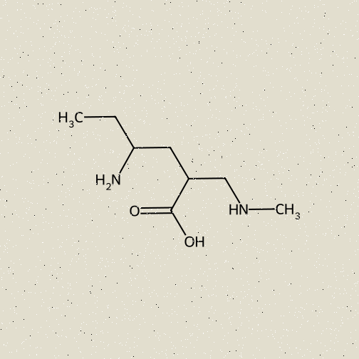 CCC(N)CC(CNC)C(=O)O